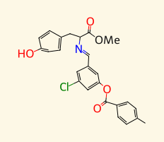 COC(=O)C(Cc1ccc(O)cc1)N=Cc1cc(Cl)cc(OC(=O)c2ccc(C)cc2)c1